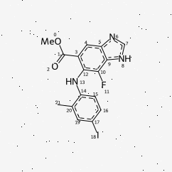 COC(=O)c1cc2nc[nH]c2c(F)c1Nc1ccc(I)cc1C